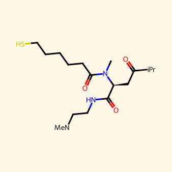 CNCCNC(=O)[C@H](CC(=O)C(C)C)N(C)C(=O)CCCCCS